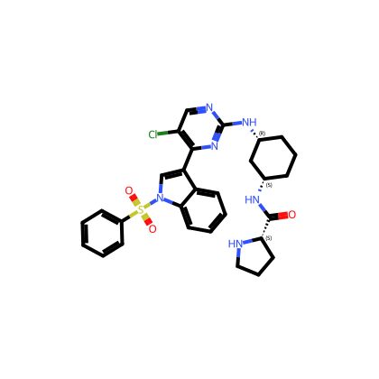 O=C(N[C@H]1CCC[C@@H](Nc2ncc(Cl)c(-c3cn(S(=O)(=O)c4ccccc4)c4ccccc34)n2)C1)[C@@H]1CCCN1